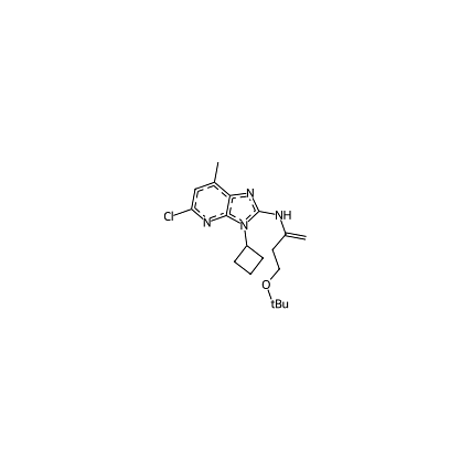 C=C(CCOC(C)(C)C)Nc1nc2c(C)cc(Cl)nc2n1C1CCC1